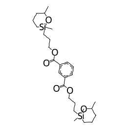 CC1CCC[Si](C)(CCCOC(=O)c2cccc(C(=O)OCCC[Si]3(C)CCCC(C)O3)c2)O1